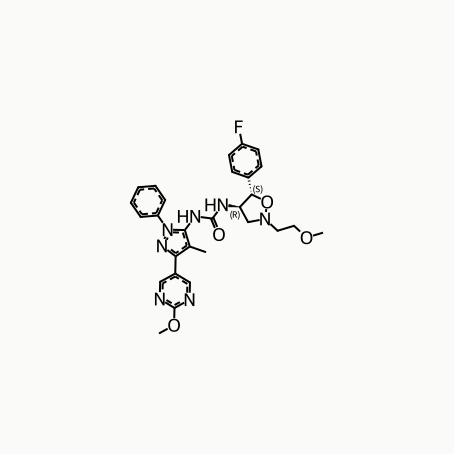 COCCN1C[C@@H](NC(=O)Nc2c(C)c(-c3cnc(OC)nc3)nn2-c2ccccc2)[C@H](c2ccc(F)cc2)O1